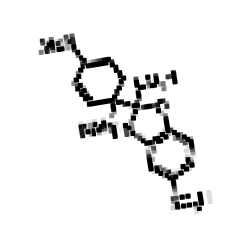 CNC1=CCC(NC)(C2(C(=O)O)Nc3cc(S(=O)(=O)O)ccc3O2)C=C1